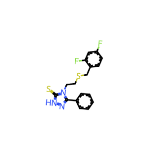 Fc1ccc(CSCCn2c(-c3ccccc3)n[nH]c2=S)c(F)c1